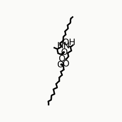 CCCCCCCCCCCCCC(=O)OC(CCCC(C)NO)OC(=O)CC(C)CCCCCCCCCCC